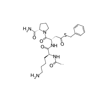 [CH2]C(=O)N[C@@H](CCCCN)C(=O)N[C@@H](CC(=O)SCc1ccccc1)C(=O)N1CCC[C@H]1C(N)=O